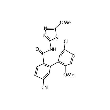 COc1nnc(NC(=O)c2ccc(C#N)cc2-c2cc(Cl)ncc2OC)s1